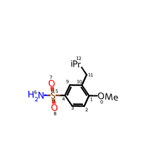 COc1ccc(S(N)(=O)=O)cc1CC(C)C